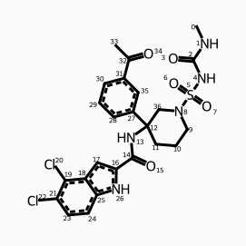 CNC(=O)NS(=O)(=O)N1CCCC(NC(=O)c2cc3c(Cl)c(Cl)ccc3[nH]2)(c2cccc(C(C)=O)c2)C1